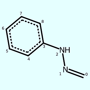 C=NNc1ccccc1